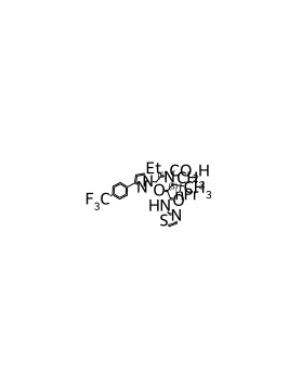 CCCC(C)(C)[C@@H](C(=O)C(=O)Nc1nccs1)N(C(=O)O)[C@@H](CC)Cn1ccc(-c2ccc(C(F)(F)F)cc2)n1